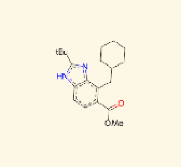 COC(=O)c1ccc2[nH]c(C(C)(C)C)nc2c1CC1CCCCC1